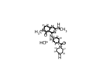 CNc1nc(Nc2ccc(C(=O)N3CCNCC3)cc2)c2c(=O)n(C)ccc2n1.Cl